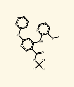 [2H]C([2H])([2H])NC(=O)c1nnc(Nc2cccnn2)cc1Nc1ncccc1SC